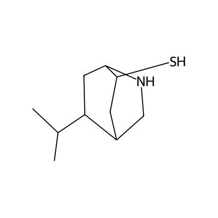 CC(C)C1CC2NCC1CC2S